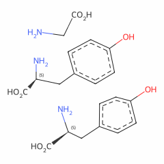 NCC(=O)O.N[C@@H](Cc1ccc(O)cc1)C(=O)O.N[C@@H](Cc1ccc(O)cc1)C(=O)O